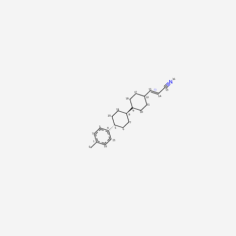 Cc1ccc([C@H]2CC[C@H](C3CCC(/C=C/C#N)CC3)CC2)cc1